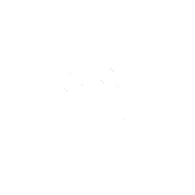 Nc1nc2c(s1)-c1nc(Nc3cccc(N=O)c3)ncc1CC2